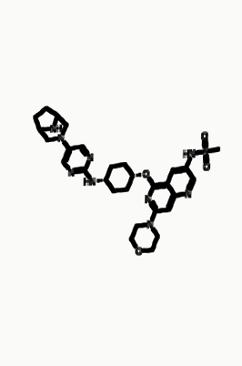 CS(=O)(=O)Nc1cnc2cc(N3CCOCC3)nc(O[C@H]3CC[C@@H](Nc4ncc(N5CC6CCC(C5)N6)cn4)CC3)c2c1